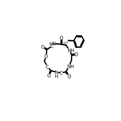 O=C1CCOC(=O)CNC(=O)[C@H](Cc2ccccc2)NC(=O)CNC(=O)CN1